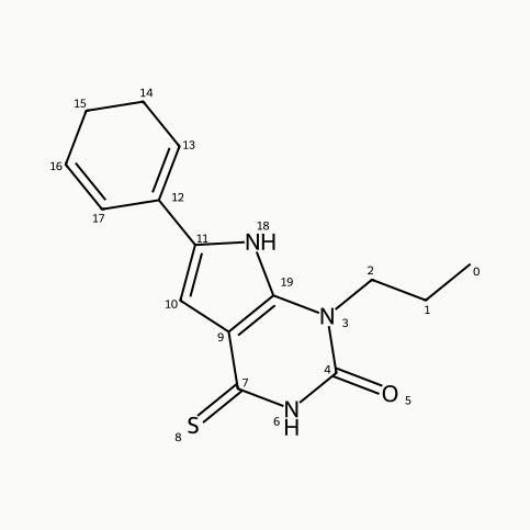 CCCn1c(=O)[nH]c(=S)c2cc(C3=CCCC=C3)[nH]c21